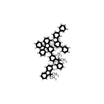 CC1(C)c2ccccc2-c2ccc(N3c4ccccc4C(C)(C)c4cc(-c5ccc6c(c5)C(c5ccccc5)(c5ccccc5)c5cccc(-n7c8ccc(-c9ccccc9)cc8c8cc(-c9ccccc9)ccc87)c5-6)ccc43)cc21